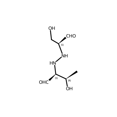 C[C@@H](O)[C@@H](C=O)NN[C@H](C=O)CO